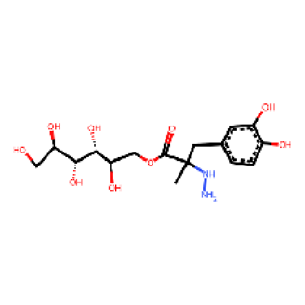 CC(Cc1ccc(O)c(O)c1)(NN)C(=O)OC[C@@H](O)[C@@H](O)[C@H](O)[C@H](O)CO